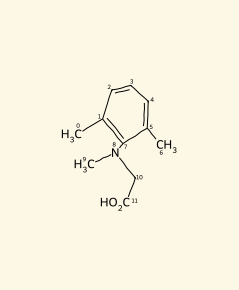 Cc1cccc(C)c1N(C)CC(=O)O